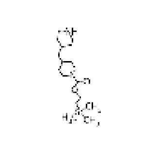 C[Si](C)(C)CCOC(=O)N1CCC(CC2CCNCC2)CC1